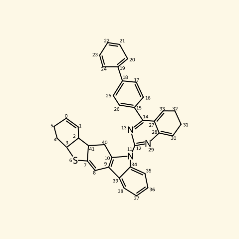 C1=CC2C(CC1)SC1=Cc3c(n(-c4nc(-c5ccc(-c6ccccc6)cc5)c5c(n4)=CCCC=5)c4ccccc34)CC12